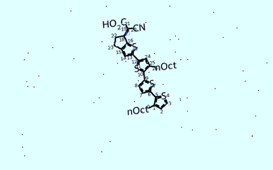 CCCCCCCCc1ccsc1-c1ccc(-c2sc(-c3cc4c(s3)/C(=C(\C#N)C(=O)O)CC4)cc2CCCCCCCC)s1